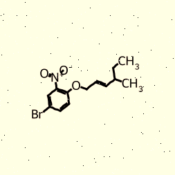 CCC(C)/C=C/COc1ccc(Br)cc1[N+](=O)[O-]